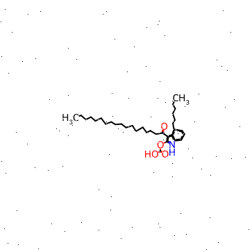 CCCCCCCCCCCCCCCCCC(=O)c1c(OC(=O)O)[nH]c2cccc(CCCCCC)c12